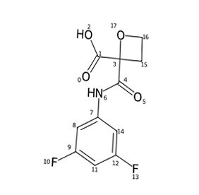 O=C(O)C1(C(=O)Nc2cc(F)cc(F)c2)CCO1